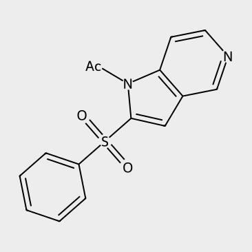 CC(=O)n1c(S(=O)(=O)c2ccccc2)cc2cnccc21